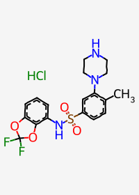 Cc1ccc(S(=O)(=O)Nc2cccc3c2OC(F)(F)O3)cc1N1CCNCC1.Cl